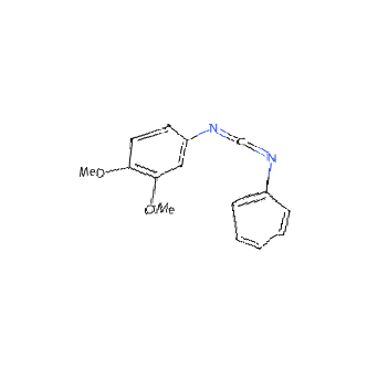 COc1ccc(N=C=Nc2ccccc2)cc1OC